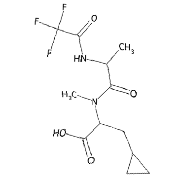 CC(NC(=O)C(F)(F)F)C(=O)N(C)C(CC1CC1)C(=O)O